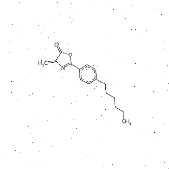 C=C1N=C(c2ccc(CCCCCC)cc2)OC1=O